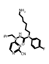 CC(C)CN(NC(=O)N(CCCCCCN)c1ccc(F)cc1)c1ccnc(C#N)n1